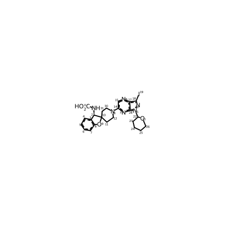 O=C(O)N[C@@H]1c2ccccc2OC12CCN(c1cnc3c(I)nn(C4CCCCO4)c3n1)CC2